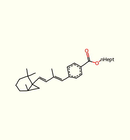 CCCCCCCOC(=O)c1ccc(/C=C(\C)C=CC23CC2(C)CCCC3(C)C)cc1